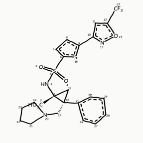 O=C(O)[C@@]1(NS(=O)(=O)c2ccc(-c3cc(C(F)(F)F)on3)s2)C[C@@]1(CN1CCCC1)c1ccccc1